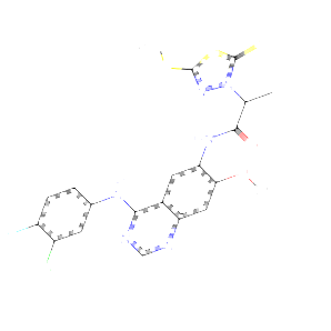 CCCSc1nn(C(C)C(=O)Nc2cc3c(Nc4ccc(F)c(Cl)c4)ncnc3cc2OCC)c(=S)s1